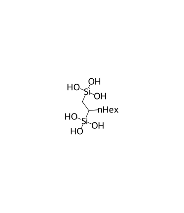 CCCCCCC(C[Si](O)(O)O)[Si](O)(O)O